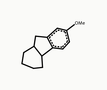 COc1ccc2c(c1)CC1CCCCC21